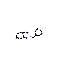 Cc1ccc(Cn2ccc3ccc(Br)cc3c2=O)cc1